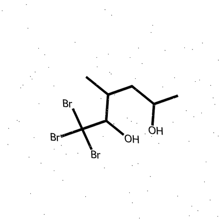 CC(O)CC(C)C(O)C(Br)(Br)Br